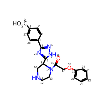 O=C(O)c1ccc(-c2n[nH]c(C3CNCCN3C(=O)COc3ccccc3)n2)cc1